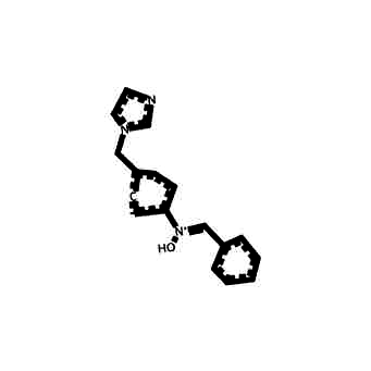 O/[N+](=C\c1ccccc1)c1ccc(Cn2ccnc2)cc1